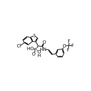 O=C(NC=Cc1cccc(OC(F)(F)F)c1)C(c1csc2ccc(Cl)cc12)P(=O)(O)O